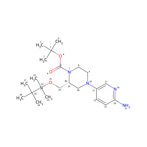 CC(C)(C)OC(=O)N1CCN(c2ccc(N)nc2)C[C@@H]1CO[Si](C)(C)C(C)(C)C